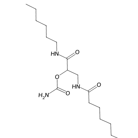 CCCCCCNC(=O)C(CNC(=O)CCCCCC)OC(N)=O